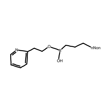 CCCCCCCCCCCCB(O)OCCc1ccccn1